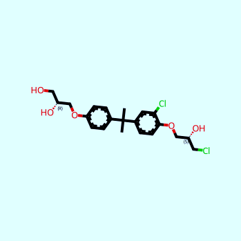 CC(C)(c1ccc(OC[C@H](O)CO)cc1)c1ccc(OC[C@H](O)CCl)c(Cl)c1